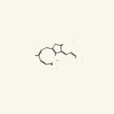 C=C1CC2=C(/C1=C/C=C\C)N(C)C(=C)/C=C\C(CC)=C/C2